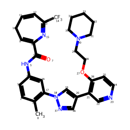 Cc1ccc(NC(=O)C2=CCC=CC(C(F)(F)F)=N2)cc1-n1cc(-c2cnccc2OCCN2CCCCC2)cn1